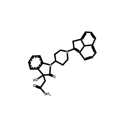 NC(=O)CC1(O)C(=O)N(C2CCN(C3=C4C=CC=C5C=CC=C(C3)C54)CC2)c2ccccc21